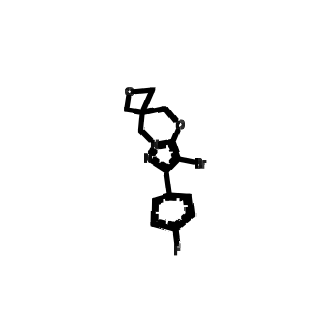 Fc1ccc(-c2nn3c(c2Br)OCC2(COC2)C3)cc1